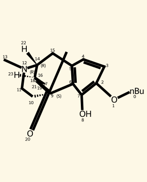 CCCCOc1ccc2c(c1O)[C@]13CCN(C)[C@H](C2)[C@@H]1CCC(=O)C3